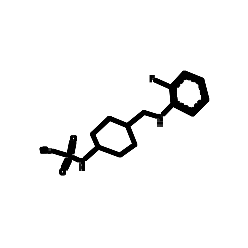 CC(C)(C)S(=O)(=O)NC1CCC(CNc2ccccc2F)CC1